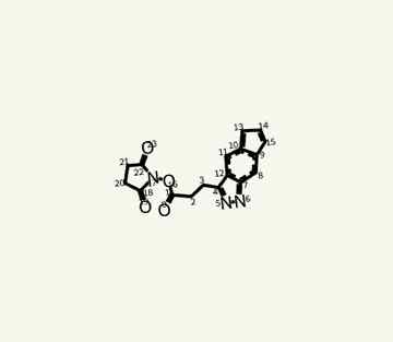 O=C(CCC1=NN=c2cc3c(cc21)=CC=C3)ON1C(=O)CCC1=O